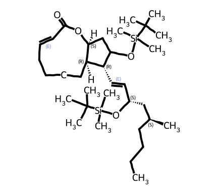 CCCC[C@H](C)C[C@@H](/C=C/[C@H]1C(O[Si](C)(C)C(C)(C)C)C[C@@H]2OC(=O)/C=C/CCCC[C@@H]21)O[Si](C)(C)C(C)(C)C